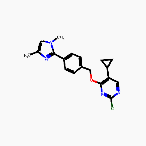 Cn1cc(C(F)(F)F)nc1-c1ccc(COc2nc(Cl)ncc2C2CC2)cc1